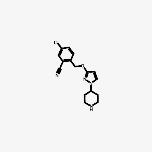 N#Cc1cc(Cl)ccc1COc1ccn(C2CCNCC2)n1